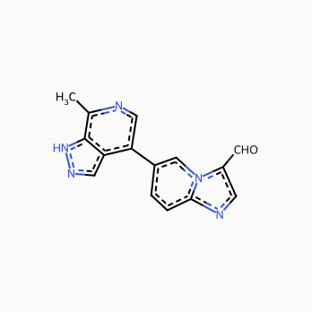 Cc1ncc(-c2ccc3ncc(C=O)n3c2)c2cn[nH]c12